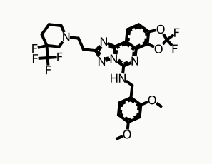 COc1ccc(CNc2nc3c4c(ccc3c3nc(CCN5CCCC(F)(C(F)(F)F)C5)nn23)OC(F)(F)O4)c(OC)c1